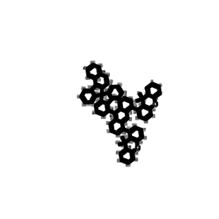 CC1(C)c2ccccc2Oc2cccc(-c3cccc4c(-c5cccc6c5-c5ccccc5C65c6ccccc6-c6c5ccc5ccccc65)c5cccc(-c6cccc7c6C(C)(C)c6ccccc6O7)c5cc34)c21